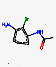 CC(=O)Nc1cccc(N)c1Br